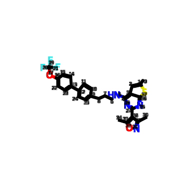 Cc1cc2c(NCCCc3ccc(-c4ccc(OC(F)(F)F)cc4)cc3)nc(-c3c(C)noc3C)nc2s1